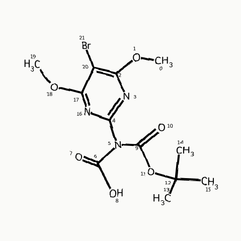 COc1nc(N(C(=O)O)C(=O)OC(C)(C)C)nc(OC)c1Br